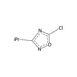 CC(C)c1noc(Cl)n1